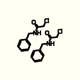 O=C(CCl)NCc1ccccc1.O=C(CCl)NCc1ccccc1